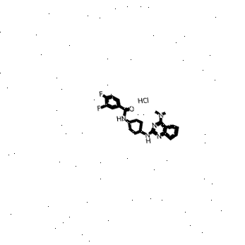 CN(C)c1nc(NC2CCC(NC(=O)c3ccc(F)c(F)c3)CC2)nc2ccccc12.Cl